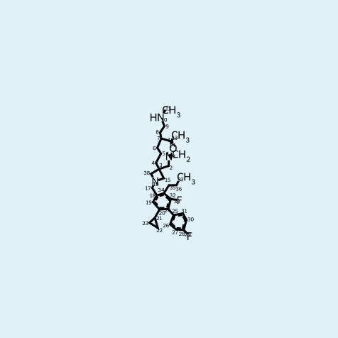 C=NCC1(CCCC(CCNC)C(C)=O)CN(Cc2cc(C3CC3)c(-c3ccc(F)cc3)c(F)c2CCC)C1